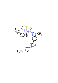 Cc1cccc(C)c1N1/C(=N/C(=O)NCC(C)c2ccc(-c3ncn(-c4ccc(OC(F)(F)F)cc4)n3)cc2)SCCC1C